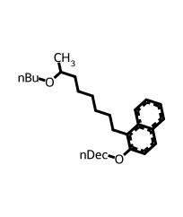 CCCCCCCCCCOc1ccc2ccccc2c1CCCCCCC(C)OCCCC